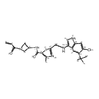 C=CC(=O)N1CC(NC(=O)c2sc(CNc3n[nH]c4cc(Cl)c(C(C)(C)C)cc34)nc2C)C1